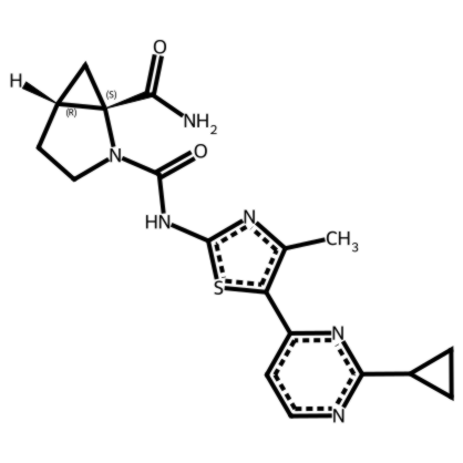 Cc1nc(NC(=O)N2CC[C@@H]3C[C@@]32C(N)=O)sc1-c1ccnc(C2CC2)n1